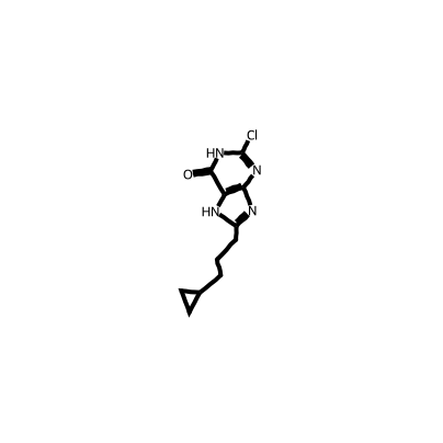 O=c1[nH]c(Cl)nc2nc(CCCC3CC3)[nH]c12